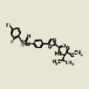 COC(=O)C(NC(=O)c1ncc(-c2ccc(NC(=O)Nc3ccc(Cl)cc3F)cc2)o1)C(C)C